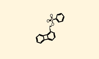 O=S(=O)(O[I+]c1cccc2c1-c1ccccc1-2)c1ccccc1